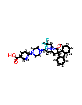 O=C(O)c1ccc(N2CCN(CCCCC3(C(=O)NCC(F)(F)F)c4ccccc4-c4ccccc43)CC2)nc1